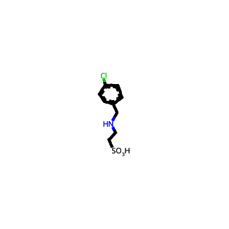 O=S(=O)(O)CCNCc1ccc(Cl)cc1